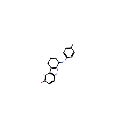 CC(C)c1ccc(NC2CCCc3c2[nH]c2ccc(Br)cc32)cc1